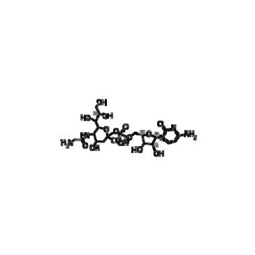 NCC(=O)NC1C(O)CC(OP(=O)(O)OC[C@H]2O[C@@H](n3ccc(N)nc3=O)[C@@H](O)C2O)(C(=O)O)OC1C(O)[C@H](O)CO